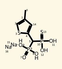 Cc1csc(C(P(=O)(O)O)P(O)(O)=S)c1.[Na].[Na]